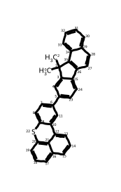 CC1(C)c2cc(-c3ccc4c(c3)-c3cccc5cccc(c35)S4)ccc2-c2ccc3ccccc3c21